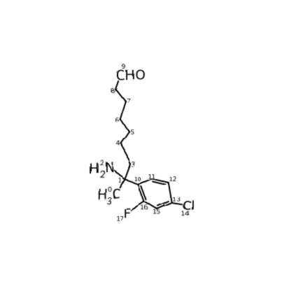 CC(N)(CCCCCCC=O)c1ccc(Cl)cc1F